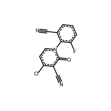 N#Cc1cccc(F)c1-n1ccc(Cl)c(C#N)c1=O